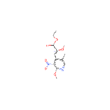 CCOC(=O)/C(=C/c1c(C)cnc(OC)c1[N+](=O)[O-])OC